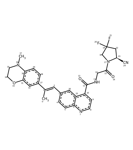 C/C(=C\c1ccc2nccc(C(=O)NCC(=O)N3CC(F)(F)C[C@H]3C#N)c2c1)c1ccc2c(c1)OCCN2C